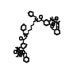 CNS(=O)(=O)N(C)c1cc(C(=O)CN(CCCCCCN(CC(=O)c2ccc(OCc3ccccc3)c(N(C)S(=O)(=O)NC)c2)Cc2ccccc2)Cc2ccccc2)ccc1OCc1ccccc1